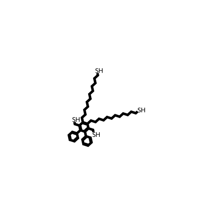 SCCCCCCCCCCCCc1c(CCCCCCCCCCCCS)c(CS)c(-c2ccccc2)c(-c2ccccc2)c1CS